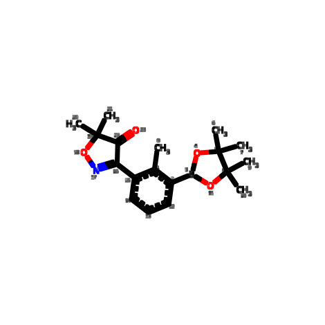 Cc1c(B2OC(C)(C)C(C)(C)O2)cccc1C1=NOC(C)(C)C1=O